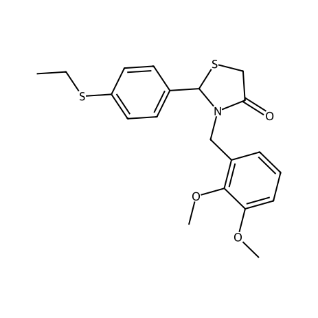 CCSc1ccc(C2SCC(=O)N2Cc2cccc(OC)c2OC)cc1